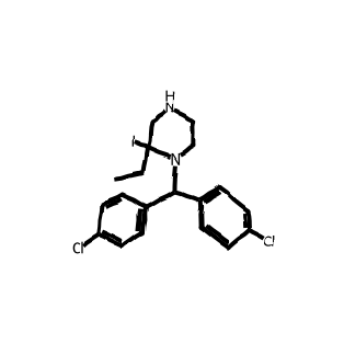 CCC1(I)CNCCN1C(c1ccc(Cl)cc1)c1ccc(Cl)cc1